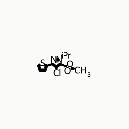 CC1OC(c2c(Cl)c(-c3cccs3)nn2C(C)C)O1